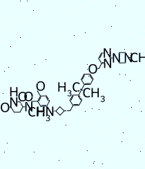 CN1CCN(c2nccc(COc3ccc(C(C)(C)c4ccc(CC5CC(Nc6ccc(C=O)c(C(=O)N(C)C7CCC(=O)NC7=O)c6)C5)cc4)cc3)n2)CC1